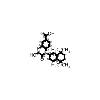 CC1(C)CCC(C)(C)c2cc(N(C(=O)CO)c3ccc(C(=O)O)cc3F)ccc21